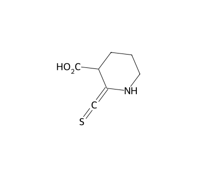 O=C(O)C1CCCNC1=C=S